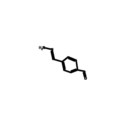 NN=Cc1ccc([C]=O)cc1